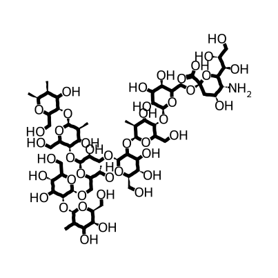 CC1C(O)[C@H](O)[C@H](CO)O[C@H]1O[C@@H]1C(O)[C@H](O)C(CO)O[C@@H]1OCC(O[C@@H](O[C@@H]1C(CO)O[C@@H](O[C@@H]2C(CO)O[C@@H](C)[C@@H](C)C2O)[C@@H](C)C1O)[C@H](O)CO[C@H]1O[C@H](CO)[C@@H](O)C(O)C1O[C@@H]1OC(CO)[C@@H](O[C@@H]2OC(CO[C@]3(C(=O)O)C[C@@H](O)[C@@H](N)C([C@H](O)[C@H](O)CO)O3)[C@H](O)C(O)[C@@H]2O)C(O)[C@@H]1C)[C@H](C)O